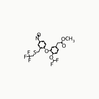 COC(=O)Cc1ccc(OC(F)F)c(Oc2ccc(N=O)cc2CSCC(F)(F)F)c1